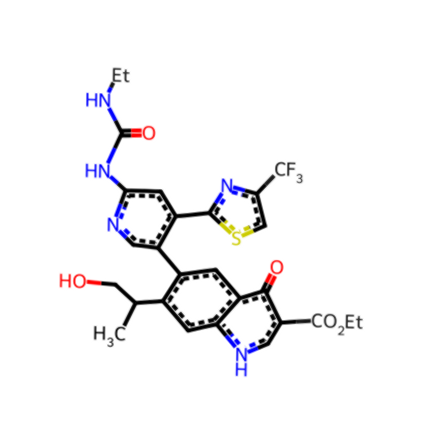 CCNC(=O)Nc1cc(-c2nc(C(F)(F)F)cs2)c(-c2cc3c(=O)c(C(=O)OCC)c[nH]c3cc2C(C)CO)cn1